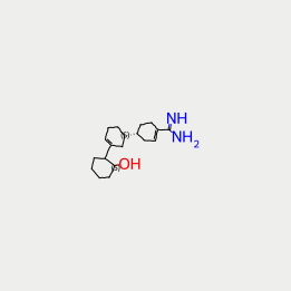 N=C(N)C1=CCC([C@H]2CCC=C(C3CCCC[C@@H]3O)C2)CC1